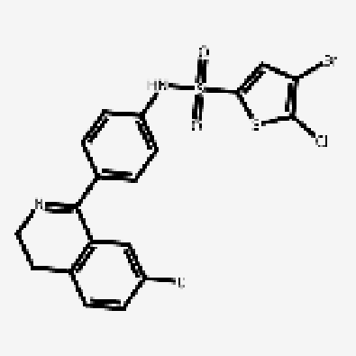 O=S(=O)(Nc1ccc(C2=NCCc3ccc(Cl)cc32)cc1)c1cc(Br)c(Cl)s1